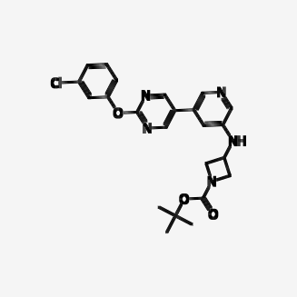 CC(C)(C)OC(=O)N1CC(Nc2cncc(-c3cnc(Oc4cccc(Cl)c4)nc3)c2)C1